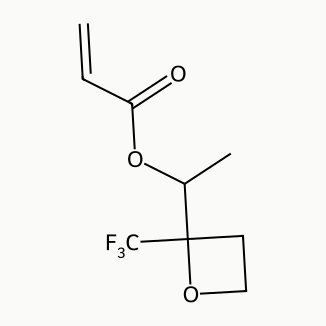 C=CC(=O)OC(C)C1(C(F)(F)F)CCO1